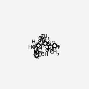 CNC(=O)c1c(-c2ccc(F)cc2)oc2cc(N(C)S(C)(=O)=O)c(-c3ccc(O)c(-c4nn5ccccc5c4CO)n3)cc12